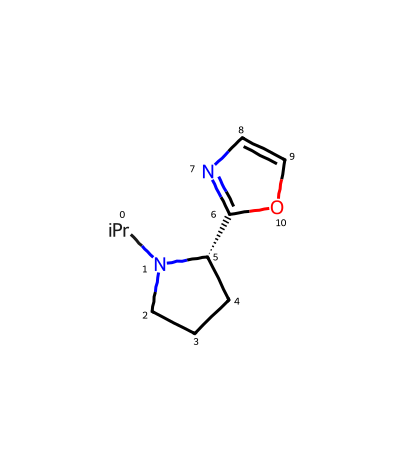 CC(C)N1CCC[C@H]1c1ncco1